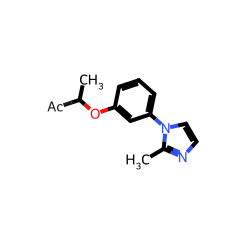 CC(=O)C(C)Oc1cccc(-n2ccnc2C)c1